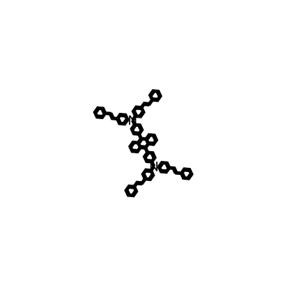 C(=Cc1ccc(N(c2ccc(C=Cc3ccccc3)cc2)c2ccc(-c3c4ccccc4c(-c4ccc(N(c5ccc(C=Cc6ccccc6)cc5)c5ccc(C=Cc6ccccc6)cc5)cc4)c4ccccc34)cc2)cc1)c1ccccc1